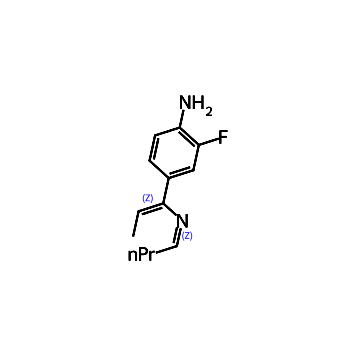 C/C=C(\N=C/CCC)c1ccc(N)c(F)c1